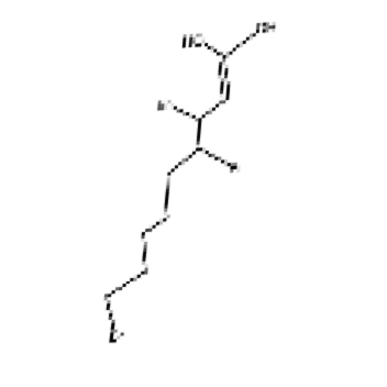 OC(O)=CC(Br)C(Br)CCCCCBr